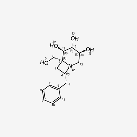 OC[C@@]12C[C@@H](Cc3ccccc3)N1C[C@H](O)[C@@H](O)[C@@H]2O